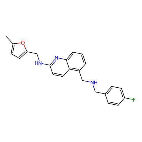 Cc1ccc(CNc2ccc3c(CNCc4ccc(F)cc4)cccc3n2)o1